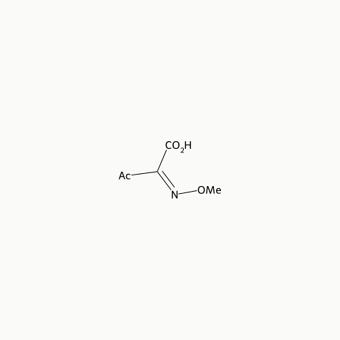 CO/N=C(/C(C)=O)C(=O)O